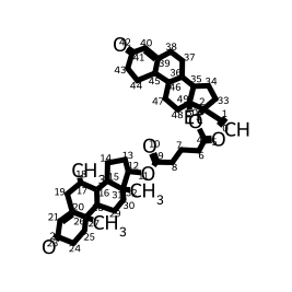 C#CC1(OC(=O)CCCC(=O)OC2CCC3C4C(C)CC5=CC(=O)CCC5(C)C4CCC23C)CCC2C3CCC4=CC(=O)CCC4C3CCC21CC